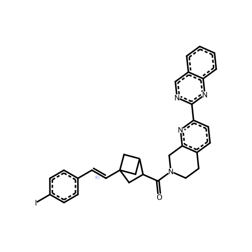 O=C(C1CC2(/C=C/c3ccc(I)cc3)CC1C2)N1CCc2ccc(-c3ncc4ccccc4n3)nc2C1